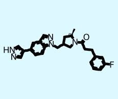 C[C@@H]1CC(Cn2ncc3cc(-c4cn[nH]c4)ccc32)CN1C(=O)CCc1cccc(F)c1